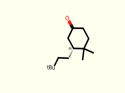 CC(C)(C)CC[C@@H]1CC(=O)CCC1(C)C